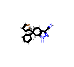 N#Cc1n[nH]c2c1C=CC(c1ccccc1)(c1cccs1)C2